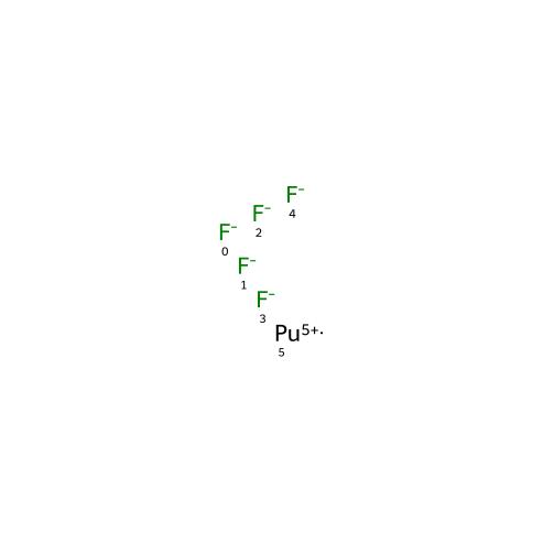 [F-].[F-].[F-].[F-].[F-].[Pu+5]